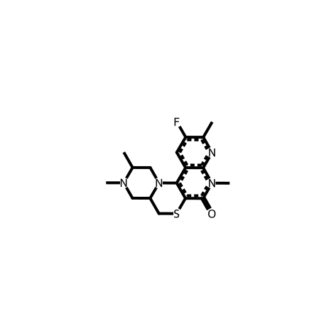 Cc1nc2c(cc1F)c1c(c(=O)n2C)SCC2CN(C)C(C)CN12